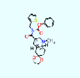 CN1C[C@H](C(=O)N(Cc2cccs2)C(=O)Oc2ccccc2)C[C@@H]2CC3(CC[C@H]21)OCCO3